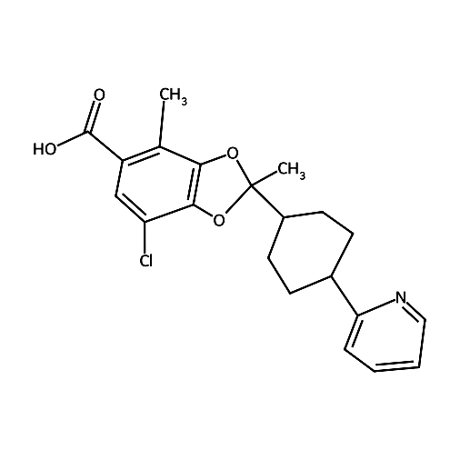 Cc1c(C(=O)O)cc(Cl)c2c1OC(C)(C1CCC(c3ccccn3)CC1)O2